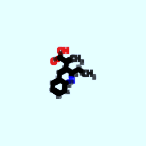 C=C(C(=O)O)c1cc2ccccc2nc1CC